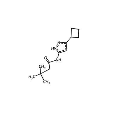 CC(C)(C)CC(=O)Nc1cc(C2C[CH]C2)n[nH]1